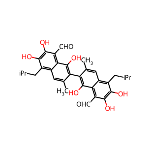 Cc1cc2c(CC(C)C)c(O)c(O)c(C=O)c2c(O)c1-c1c(C)cc2c(CC(C)C)c(O)c(O)c(C=O)c2c1O